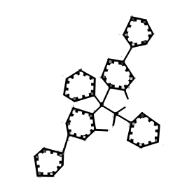 c1ccc(-c2ccc3c(c2)OC2(c4ccccc4)Oc4cc(-c5ccccc5)ccc4C32c2ccccc2)cc1